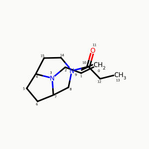 C=CCN1C2CCC1CN(C(=O)CC)CC2